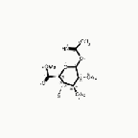 COC(=O)[C@H]1OC(OC(=N)C(Cl)(Cl)Cl)[C@H](OC(C)=O)[C@@H](OC(C)=O)[C@@H]1C